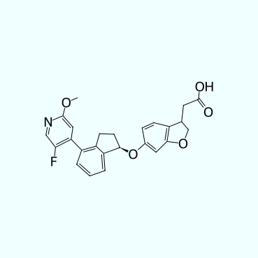 COc1cc(-c2cccc3c2CC[C@H]3Oc2ccc3c(c2)OCC3CC(=O)O)c(F)cn1